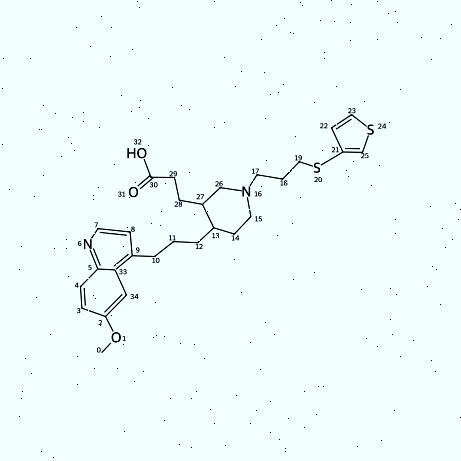 COc1ccc2nccc(CCCC3CCN(CCCSc4ccsc4)CC3CCC(=O)O)c2c1